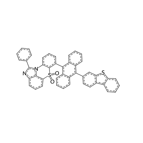 O=S1(=O)c2c(-c3c4ccccc4c(-c4ccc5c(c4)sc4ccccc45)c4ccccc34)cccc2-n2c(-c3ccccc3)nc3cccc1c32